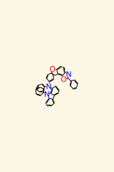 c1ccc(-c2nc3ccc4oc5ccc(N(c6ccccc6)c6cccc7c8ccccc8n(-c8ccccc8)c67)cc5c4c3o2)cc1